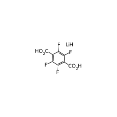 O=C(O)c1c(F)c(F)c(C(=O)O)c(F)c1F.[LiH]